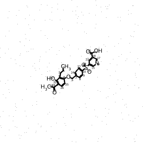 CCCc1c(OCc2ccc(S(=O)(=O)c3cncc(C(=O)O)c3)cc2)ccc(C(C)=O)c1O